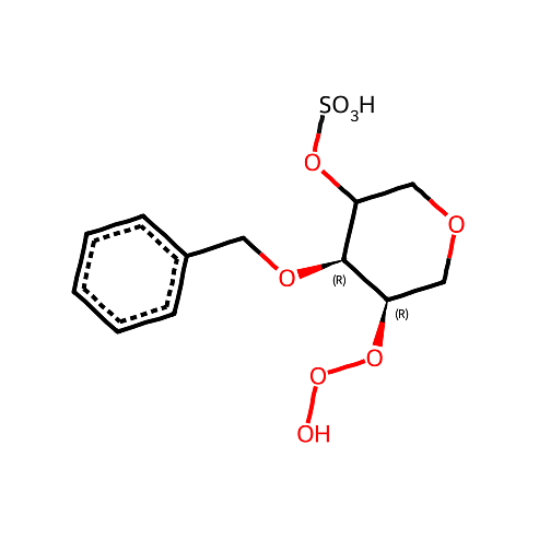 O=S(=O)(O)OC1COC[C@@H](OOO)[C@H]1OCc1ccccc1